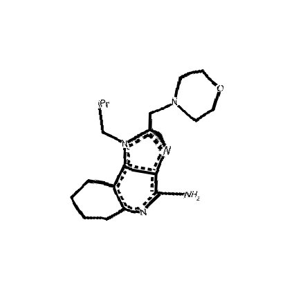 CC(C)Cn1c(CN2CCOCC2)nc2c(N)nc3c(c21)CCCC3